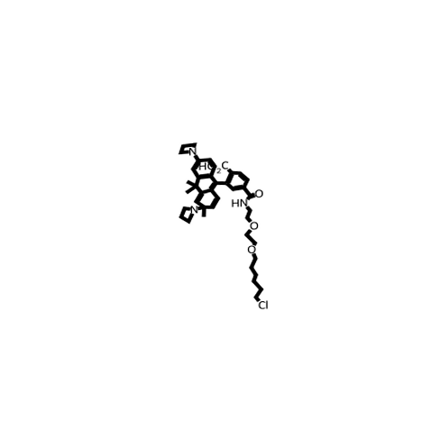 CC1(C)C2=CC(C)(N3CCC3)C=CC2=C(c2cc(C(=O)NCCOCCOCCCCCCCl)ccc2C(=O)O)c2ccc(N3CCC3)cc21